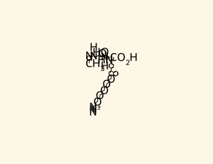 Cc1ccnc(NCCCC(=O)N[C@H](CO)CN[C@@H](CC(=O)O)c2ccc(-c3ccc(OCCOCCOCCOCCOCCN=[N+]=[N-])c4ccccc34)cc2)c1